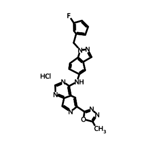 Cc1nnc(-c2cc3c(Nc4ccc5c(cnn5Cc5cccc(F)c5)c4)ncnc3cn2)o1.Cl